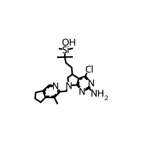 Cc1c(CN2CC(CCC(C)(C)[Si](C)(C)O)c3c(Cl)nc(N)nc32)ncc2c1CCC2